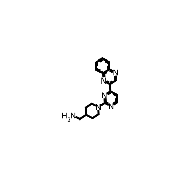 NCC1CCN(c2nccc(-c3cnc4ccccc4n3)n2)CC1